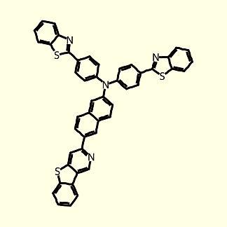 c1ccc2sc(-c3ccc(N(c4ccc(-c5nc6ccccc6s5)cc4)c4ccc5cc(-c6cc7sc8ccccc8c7cn6)ccc5c4)cc3)nc2c1